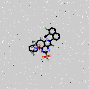 C#Cc1c(F)ccc2cccc(-c3nc4c5c(nc(S(=O)(=O)CC)nc5c3F)N3C[C@H]5CC[C@@H]([C@H]3CC4)N5C(=O)OC(C)(C)C)c12